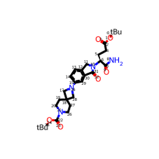 CC(C)(C)OC(=O)CC[C@@H](C(N)=O)N1Cc2ccc(N3CC4(CCN(C(=O)OC(C)(C)C)CC4)C3)cc2C1=O